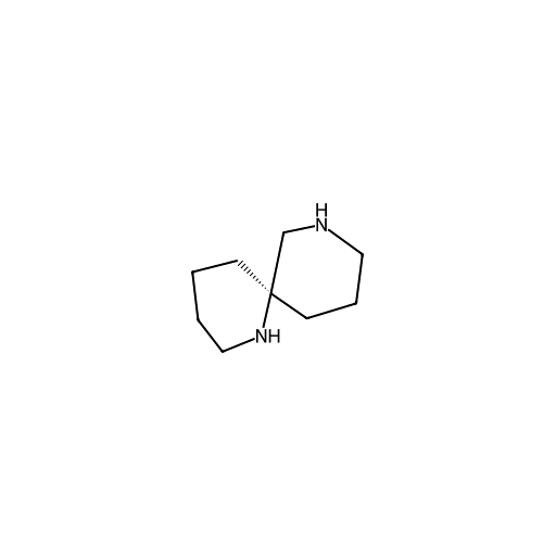 C1CC[C@]2(CCCNC2)NC1